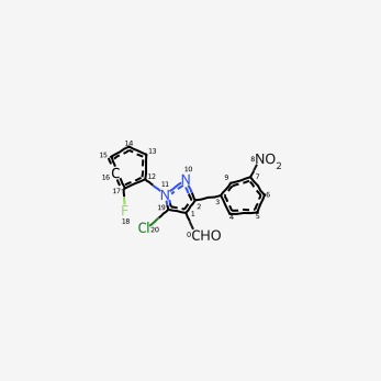 O=Cc1c(-c2cccc([N+](=O)[O-])c2)nn(-c2ccccc2F)c1Cl